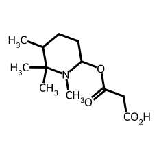 CC1CCC(OC(=O)CC(=O)O)N(C)C1(C)C